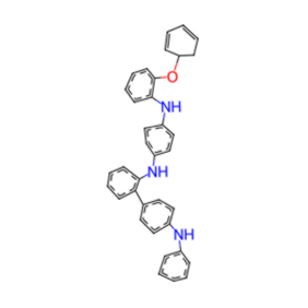 C1=CCC(Oc2ccccc2Nc2ccc(Nc3ccccc3-c3ccc(Nc4ccccc4)cc3)cc2)C=C1